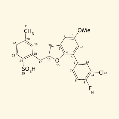 COc1cc2c(c(-c3ccc(F)c(Cl)c3)c1)OC(Cc1cc(C)ccc1S(=O)(=O)O)C2